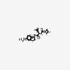 Nc1ccc2c(c1)CC[C@H]2NC(=O)[C@H](CC(=O)N1CCC1)C1CC1